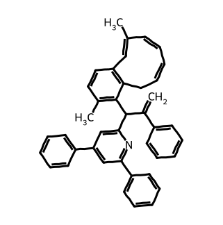 C=C(c1ccccc1)C(c1cc(-c2ccccc2)cc(-c2ccccc2)n1)c1c(C)ccc2c1C\C=C/C=C\C(C)=C\2